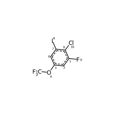 Fc1cc(OC(F)(F)F)cc(I)c1Cl